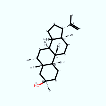 C=C(C)[C@H]1CC[C@H]2[C@@H]3C[C@@H](C)[C@H]4C[C@](C)(O)CC[C@@H]4[C@H]3CC[C@]12C